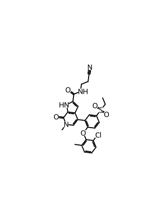 CCS(=O)(=O)c1ccc(Oc2c(C)cccc2Cl)c(-c2cn(C)c(=O)c3[nH]c(C(=O)NCCC#N)cc23)c1